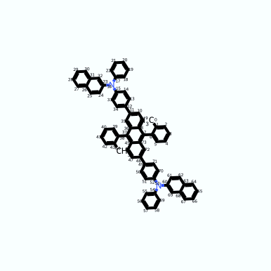 Cc1ccccc1-c1c2ccc(-c3ccc(N(c4ccccc4)c4ccc5ccccc5c4)cc3)cc2c(-c2ccccc2C)c2ccc(-c3ccc(N(c4ccccc4)c4ccc5ccccc5c4)cc3)cc12